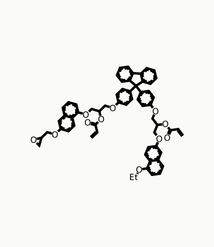 C=CC(=O)OC(COc1ccc(C2(c3ccc(OCC(COc4cccc5cc(OCC6CO6)ccc45)OC(=O)C=C)cc3)c3ccccc3-c3ccccc32)cc1)COc1ccc2c(OCC)cccc2c1